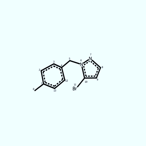 Cc1ccc(Cn2nccc2Br)cc1